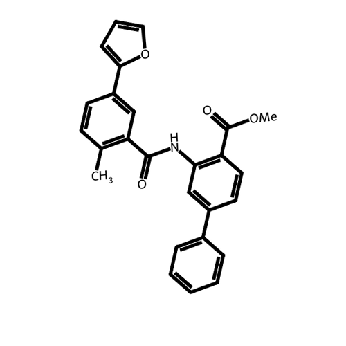 COC(=O)c1ccc(-c2ccccc2)cc1NC(=O)c1cc(-c2ccco2)ccc1C